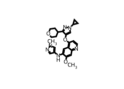 COc1cc2nccc(Oc3cn(C4CC4)nc3C3CCOCC3)c2cc1Nc1cnn(C)c1